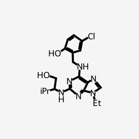 CCn1cnc2c(NCc3cc(Cl)ccc3O)nc(NC(CO)C(C)C)nc21